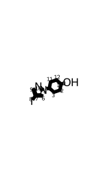 OC1CCC(n2cc(I)cn2)CC1